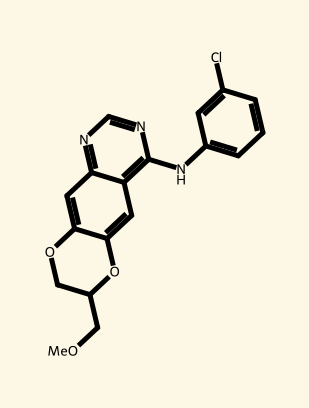 COCC1COc2cc3ncnc(Nc4cccc(Cl)c4)c3cc2O1